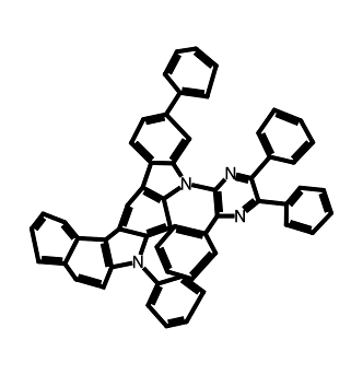 c1ccc(-c2ccc3c4cc5c6c7ccccc7ccc6n(-c6ccccc6)c5cc4n(-c4nc(-c5ccccc5)c(-c5ccccc5)nc4-c4ccccc4)c3c2)cc1